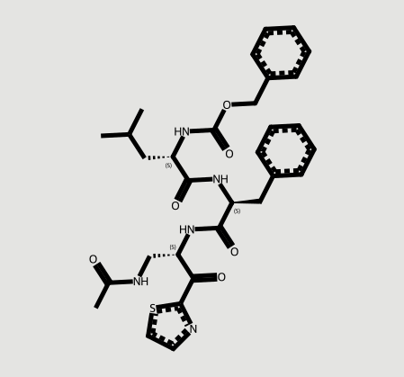 CC(=O)NC[C@H](NC(=O)[C@H](Cc1ccccc1)NC(=O)[C@H](CC(C)C)NC(=O)OCc1ccccc1)C(=O)c1nccs1